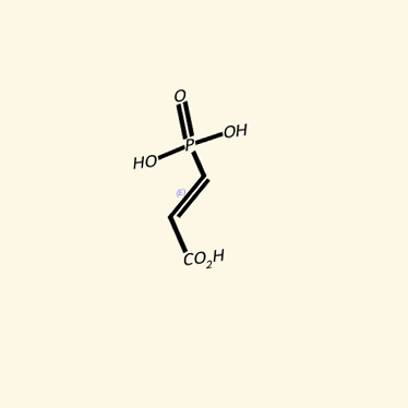 O=C(O)/C=C/P(=O)(O)O